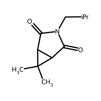 CC(C)CN1C(=O)C2C(C1=O)C2(C)C